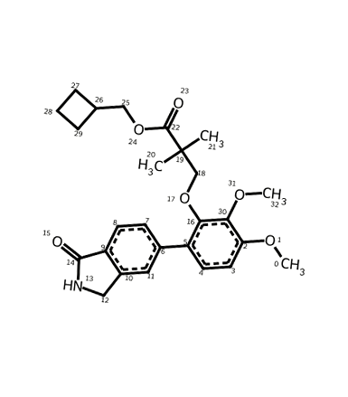 COc1ccc(-c2ccc3c(c2)CNC3=O)c(OCC(C)(C)C(=O)OCC2CCC2)c1OC